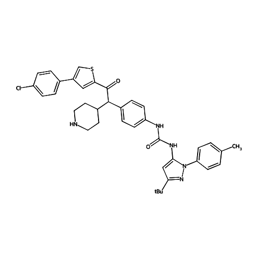 Cc1ccc(-n2nc(C(C)(C)C)cc2NC(=O)Nc2ccc(C(C(=O)c3cc(-c4ccc(Cl)cc4)cs3)C3CCNCC3)cc2)cc1